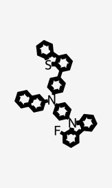 Fc1cccc2c3ccccc3n(-c3ccc(N(c4ccc(-c5cccc6c5sc5ccccc56)cc4)c4ccc5ccccc5c4)cc3)c12